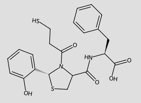 O=C(N[C@@H](Cc1ccccc1)C(=O)O)C1CS[C@H](c2ccccc2O)N1C(=O)CCS